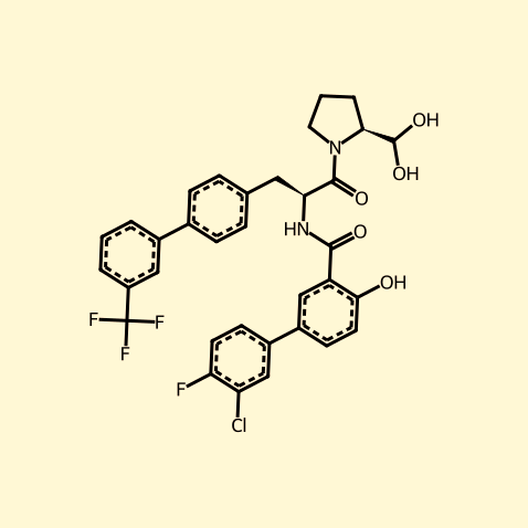 O=C(N[C@@H](Cc1ccc(-c2cccc(C(F)(F)F)c2)cc1)C(=O)N1CCC[C@H]1C(O)O)c1cc(-c2ccc(F)c(Cl)c2)ccc1O